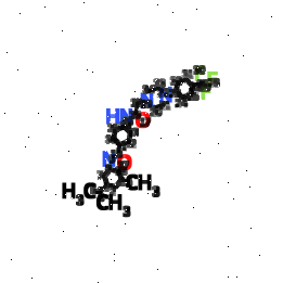 Cc1cc(C(C)C)cc2nc(-c3ccc(NC(=O)CN4CCN(c5ccc(C(F)(F)F)cc5)CC4)cc3)oc12